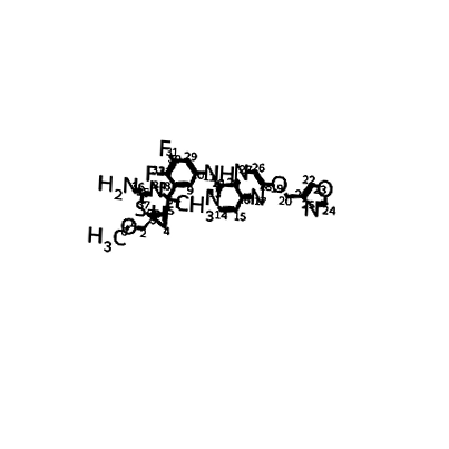 COC[C@]12C[C@H]1[C@@](C)(c1cc(Nc3nccc4nc(OCc5cocn5)cnc34)cc(F)c1F)N=C(N)S2